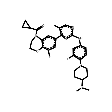 CN(C)C1CCN(c2ccc(Nc3ncc(F)c(-c4cc(F)c5c(c4)N(C(=O)C4CC4)CCO5)n3)cc2F)CC1